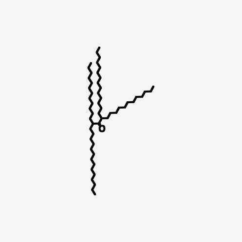 CCCCCCCCCCCCCCC(CCCCCCCCCCCC)C(=O)C(CCCCCCCCCCCC)CCCCCCCCCCCCCC